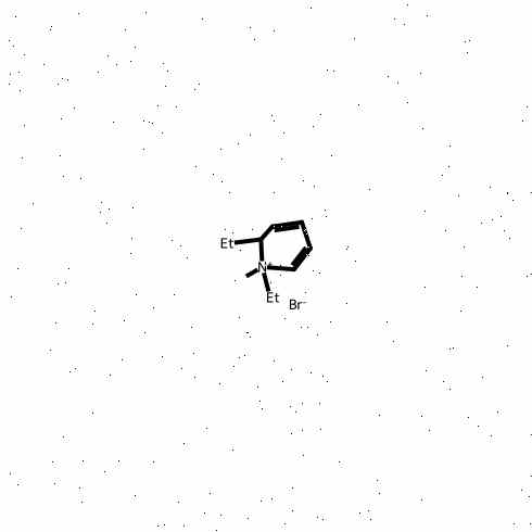 CCC1C=CC=C[N+]1(C)CC.[Br-]